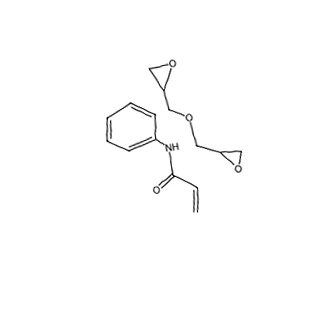 C(OCC1CO1)C1CO1.C=CC(=O)Nc1ccccc1